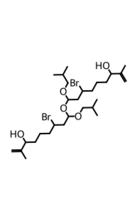 C=C(C)C(O)CCCC(Br)CC(OCC(C)C)OC(CC(Br)CCCC(O)C(=C)C)OCC(C)C